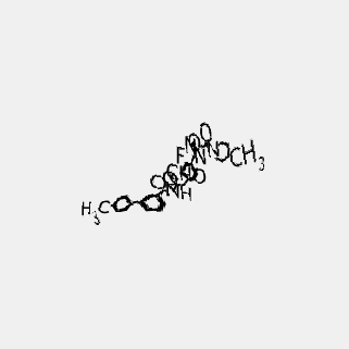 Cc1ccc(-c2cccc(C(=O)NC(Cc3ccc(-c4noc(C(=O)N5CCC(C)CC5)n4)c(F)c3)OC=O)c2)cc1